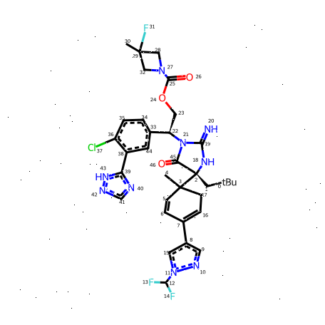 CC(C)(C)C[C@]1(C2(C)C=CC(c3cnn(C(F)F)c3)=CC2)NC(=N)N([C@H](COC(=O)N2CC(C)(F)C2)c2ccc(Cl)c(-c3ncn[nH]3)c2)C1=O